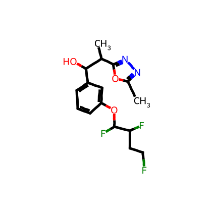 Cc1nnc(C(C)C(O)c2cccc(OC(F)C(F)CCF)c2)o1